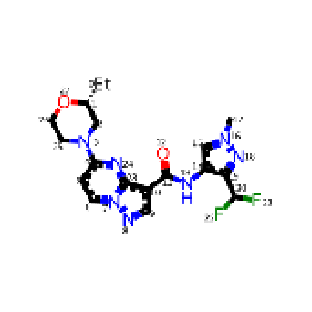 CC[C@@H]1CN(c2ccn3ncc(C(=O)Nc4cn(C)nc4C(F)F)c3n2)CCO1